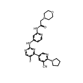 N#Cc1cc(-c2nc(Nc3ccnc(NC(=O)CN4CCOCC4)c3)ncc2F)cnc1N1CCCC1